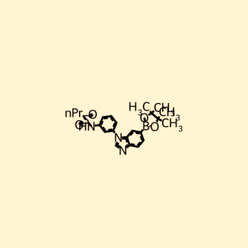 CCCS(=O)(=O)Nc1cccc(-n2cnc3ccc(B4OC(C)(C)C(C)(C)O4)cc32)c1